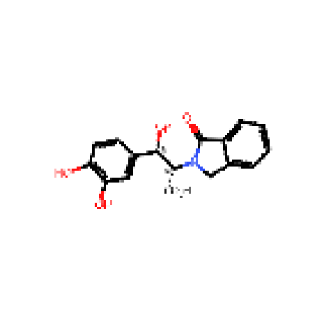 O=C(O)[C@H]([C@H](O)c1ccc(O)c(O)c1)N1Cc2ccccc2C1=O